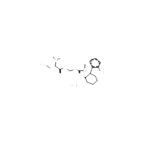 CC(C)C[C@@H](C(=O)OCOC(=O)N(C)[C@]1(c2ccccc2Cl)CCCCC1=O)N(C)C.Cl